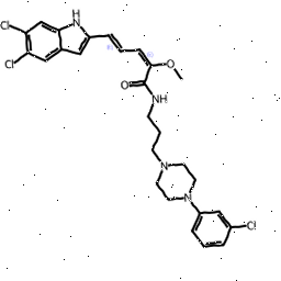 CO/C(=C/C=C/c1cc2cc(Cl)c(Cl)cc2[nH]1)C(=O)NCCCN1CCN(c2cccc(Cl)c2)CC1